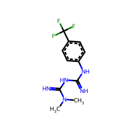 CN(C)C(=N)NC(=N)Nc1ccc(C(F)(F)F)cc1